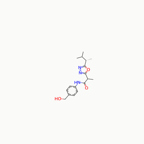 CC(C(=O)Nc1ccc(CO)cc1)c1nnc([C@@H](C)C(C)C)o1